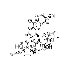 CC#C[C@]1(O)CC[C@H]2[C@@H]3CC[C@@]4(O)CC5(CCC4=C3[C@@H](c3ccc(C(=O)c4ccc(C#N)cc4)cc3)C[C@@]21C)OCCO5